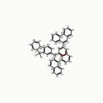 CC1(C)c2cc(N(c3cccc(-c4cc5ccccc5c5ccccc45)c3)c3ccc4ccccc4c3-c3ccccc3)ccc2C2C=CC=CC21